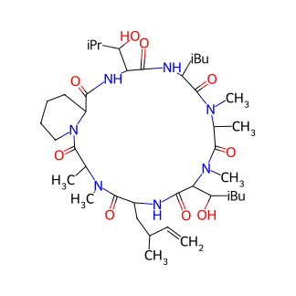 C=CC(C)CC1NC(=O)C(C(O)C(C)CC)N(C)C(=O)C(C)N(C)C(=O)C(C(C)CC)NC(=O)C(C(O)C(C)C)NC(=O)C2CCCCN2C(=O)C(C)N(C)C1=O